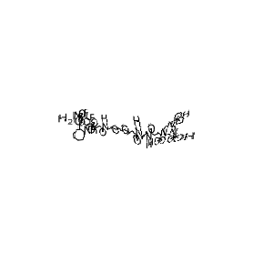 NS(=O)(=O)c1c(F)c(F)c(S(=O)(=O)CCC(=O)NCCOCCOCCC(=O)NCCNC(=O)CCC(C(=O)O)N2CCN(CC(=O)O)CCN(CC(=O)O)CC2)c(NC2CCCCCCC2)c1F